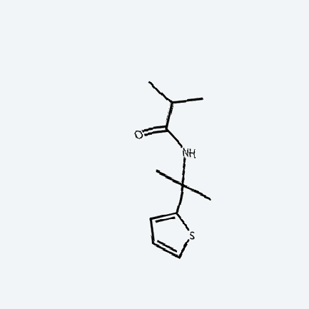 CC(C)C(=O)NC(C)(C)c1cccs1